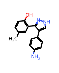 Cc1ccc(O)c(-c2n[nH]cc2-c2ccc(N)cc2)c1